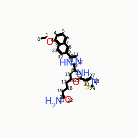 CCOc1cccc2cc(-c3cnc([C@H](CCCCCC(N)=O)NC(=O)c4cncs4)[nH]3)ccc12